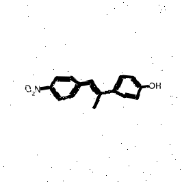 C/C(=C\c1ccc([N+](=O)[O-])cc1)c1ccc(O)cc1